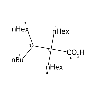 CCCCCCC(CCCC)C(CCCCCC)(CCCCCC)C(=O)O